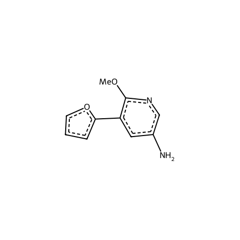 COc1ncc(N)cc1-c1ccco1